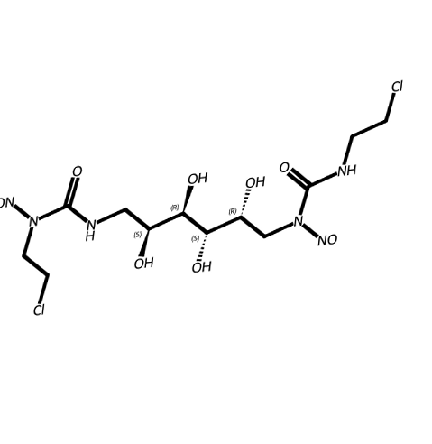 O=NN(CCCl)C(=O)NC[C@H](O)[C@@H](O)[C@@H](O)[C@H](O)CN(N=O)C(=O)NCCCl